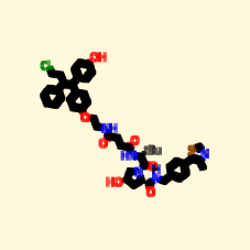 Cc1ncsc1-c1ccc(CNC(=O)[C@@H]2C[C@@H](O)CN2C(=O)[C@@H](NC(=O)CCC(=O)NCCOc2ccc(C(=C(CCCl)c3ccccc3)c3ccc(O)cc3)cc2)C(C)(C)C)cc1